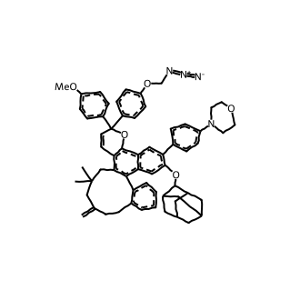 C=C1CCc2ccccc2-c2c(c3c(c4cc(-c5ccc(N6CCOCC6)cc5)c(OC5C6CC7CC(C6)CC5C7)cc24)OC(c2ccc(OC)cc2)(c2ccc(OCN=[N+]=[N-])cc2)C=C3)CC(C)(C)C1